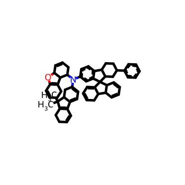 CC1(C)C2=C(C=CCC2)C2=CC=C(N(c3ccc4c(c3)C3(C5=CC=CCC5C5C=CC=CC53)C3CC(c5ccccc5)CCC43)C3CC=CC4OC5=C(CCC=C5)C43)CC21